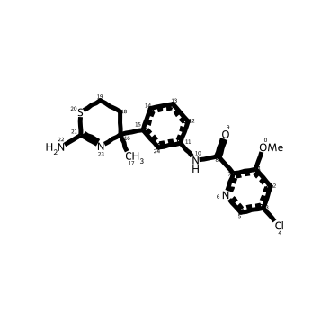 COc1cc(Cl)cnc1C(=O)Nc1cccc(C2(C)CCSC(N)=N2)c1